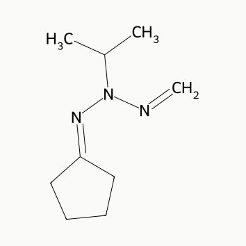 C=NN(N=C1CCCC1)C(C)C